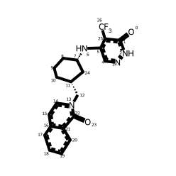 O=c1[nH]ncc(N[C@H]2CCC[C@@H](Cn3ccc4ccccc4c3=O)C2)c1C(F)(F)F